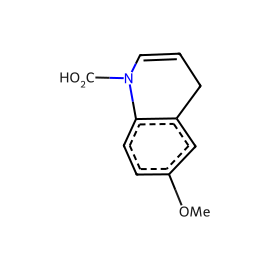 COc1ccc2c(c1)CC=CN2C(=O)O